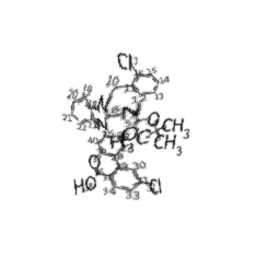 CC(C)(C)OC(=O)N=c1n(Cc2ccccc2Cl)c2ccccc2n1-c1ccc(-c2cc(Cl)ccc2C(=O)O)cc1